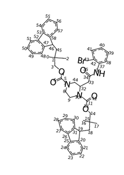 CC(C)(COC(=O)N1CCN(C(=O)OCC(C)(C)CC2c3ccccc3-c3ccccc32)C(CC(=O)Nc2ccccc2Br)C1)CC1c2ccccc2-c2ccccc21